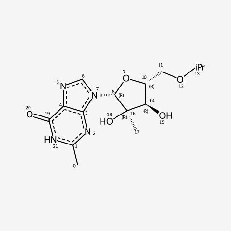 Cc1nc2c(ncn2[C@@H]2O[C@H](COC(C)C)[C@@H](O)[C@@]2(C)O)c(=O)[nH]1